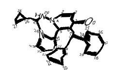 O=c1ccn2c(c1C(c1ccccc1)c1ccccc1)-c1nccn1C(C1CC1)N2